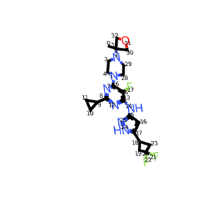 CC1(N2CCN(c3nc(C4CC4)nc(Nc4cc(C5CC(F)(F)C5)[nH]n4)c3F)CC2)COC1